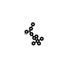 c1ccc(-c2ccc(N(c3ccc(-c4ccc5c6c(cccc46)-c4c-5c(-c5ccccc5)c5ccccc5c4-c4ccccc4)cc3)c3cccnc3)cc2)cc1